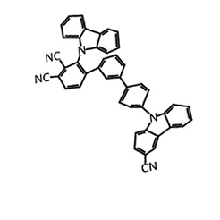 N#Cc1ccc2c(c1)c1ccccc1n2-c1ccc(-c2cccc(-c3ccc(C#N)c(C#N)c3-n3c4ccccc4c4ccccc43)c2)cc1